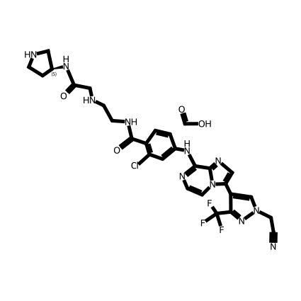 N#CCn1cc(-c2cnc3c(Nc4ccc(C(=O)NCCNCC(=O)N[C@H]5CCNC5)c(Cl)c4)nccn23)c(C(F)(F)F)n1.O=CO